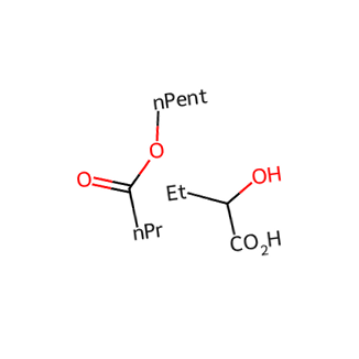 CCC(O)C(=O)O.CCCCCOC(=O)CCC